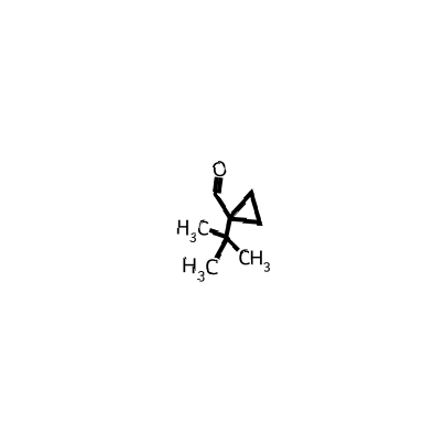 CC(C)(C)C1(C=O)CC1